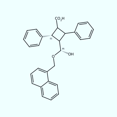 O=C(O)C1C(c2ccccc2)C([C@H](O)OCc2cccc3ccccc23)[C@@H]1c1ccccc1